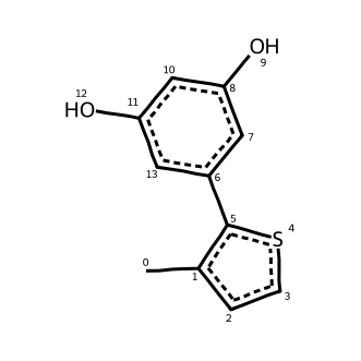 Cc1ccsc1-c1cc(O)cc(O)c1